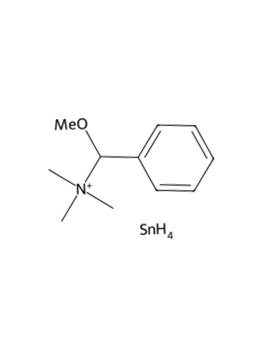 COC(c1ccccc1)[N+](C)(C)C.[SnH4]